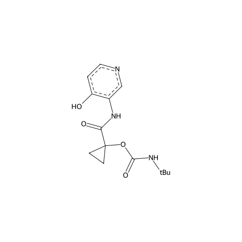 CC(C)(C)NC(=O)OC1(C(=O)Nc2cnccc2O)CC1